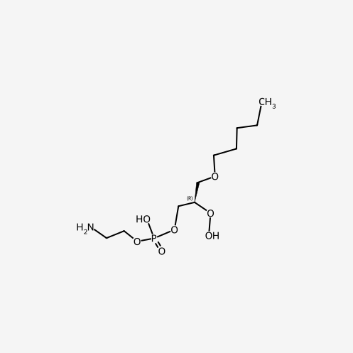 CCCCCOC[C@H](COP(=O)(O)OCCN)OO